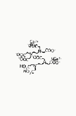 O=C([O-])CN(CCN(CC(=O)O)CC(=O)O)CC(=O)[O-].O=C([O-])CN(CCN(CC(=O)[O-])CC(=O)[O-])CC(=O)[O-].[Ca+2].[Ca+2].[Na+].[Na+]